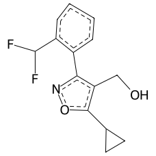 OCc1c(-c2ccccc2C(F)F)noc1C1CC1